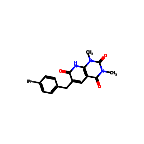 CC(C)c1ccc(Cc2cc3c(=O)n(C)c(=O)n(C)c3[nH]c2=O)cc1